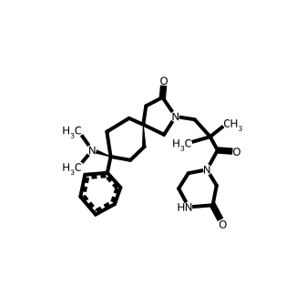 CN(C)[C@]1(c2ccccc2)CC[C@@]2(CC1)CC(=O)N(CC(C)(C)C(=O)N1CCNC(=O)C1)C2